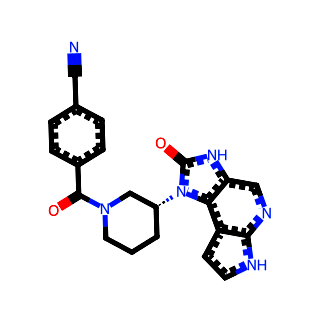 N#Cc1ccc(C(=O)N2CCC[C@@H](n3c(=O)[nH]c4cnc5[nH]ccc5c43)C2)cc1